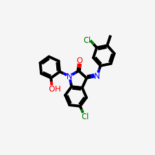 Cc1ccc(N=C2C(=O)N(c3ccccc3O)c3ccc(Cl)cc32)cc1Cl